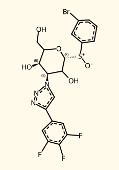 [O-][S+](c1cccc(Br)c1)[C@H]1OC(CO)[C@H](O)[C@H](n2cc(-c3cc(F)c(F)c(F)c3)nn2)C1O